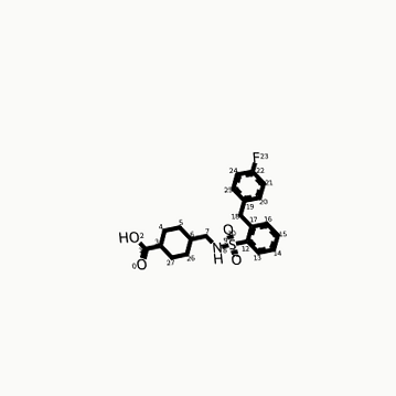 O=C(O)C1CCC(CNS(=O)(=O)c2ccccc2Cc2ccc(F)cc2)CC1